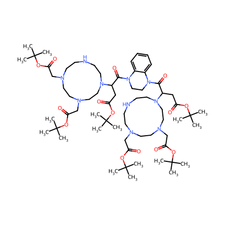 CC(C)(C)OC(=O)CC(C(=O)N1CCN(C(=O)C(CC(=O)OC(C)(C)C)N2CCNCCN(CC(=O)OC(C)(C)C)CCN(CC(=O)OC(C)(C)C)CC2)c2ccccc21)N1CCNCCN(CC(=O)OC(C)(C)C)CCN(CC(=O)OC(C)(C)C)CC1